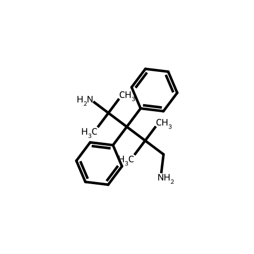 CC(C)(N)C(c1ccccc1)(c1ccccc1)C(C)(C)CN